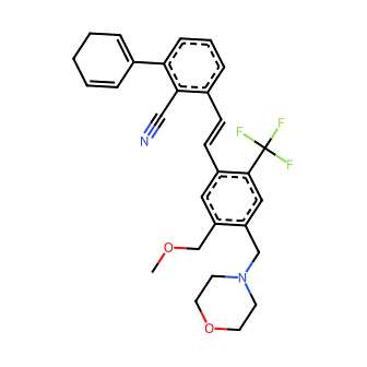 COCc1cc(/C=C/c2cccc(C3=CCCC=C3)c2C#N)c(C(F)(F)F)cc1CN1CCOCC1